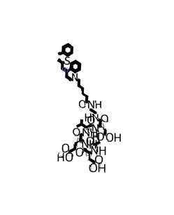 C=C(/C=C1/C=CN(CCCCCC(=O)NCCNC(=O)[C@H](CC(=O)O)NC(=O)[C@@H](NC(=O)[C@H](CCC(=O)O)NC(=O)[C@H](CC(=O)O)NC(C)=O)C(C)C)c2ccccc21)Sc1ccccc1C